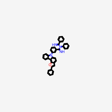 N=C(c1ccccc1)N(C(=N)c1cccc(-n2c3ccccc3c3c4oc(-c5ccccc5)cc4ccc32)c1)c1ccccc1